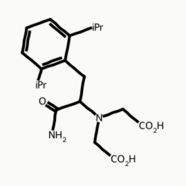 CC(C)c1cccc(C(C)C)c1CC(C(N)=O)N(CC(=O)O)CC(=O)O